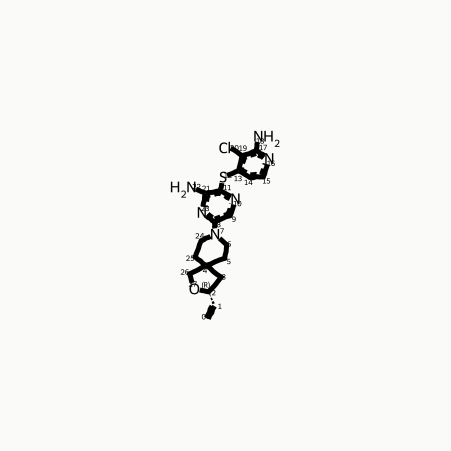 C=C[C@H]1CC2(CCN(c3cnc(Sc4ccnc(N)c4Cl)c(N)n3)CC2)CO1